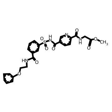 COC(=O)CNC(=O)c1ccc(C(=O)NS(=O)(=O)c2cccc(C(=O)NCCOc3ccccc3)c2)cn1